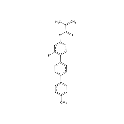 C=C(C)C(=O)Oc1ccc(-c2ccc(-c3ccc(OC)cc3)cc2)c(F)c1